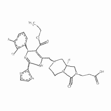 CCOC(=O)C1=C(CN2CCN3C(=O)N(CCC(=O)O)C[C@@H]3C2)NC(c2nccs2)=N[C@H]1c1cccc(F)c1Cl